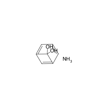 N.OC1(O)c2cccc1c2